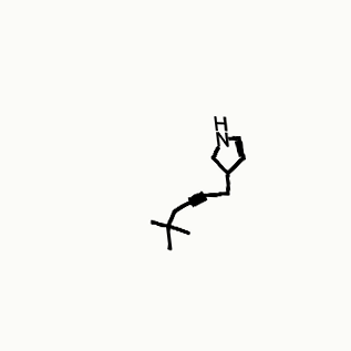 CC(C)(C)CC#CCC1C=CNC1